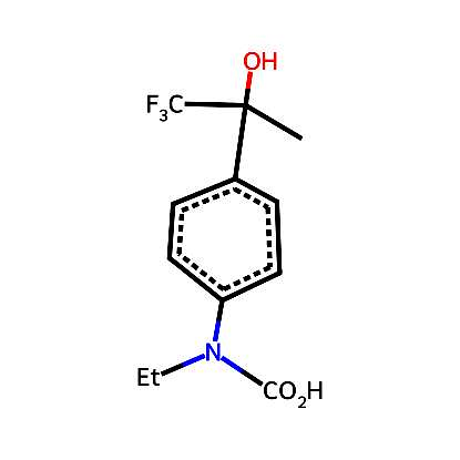 CCN(C(=O)O)c1ccc(C(C)(O)C(F)(F)F)cc1